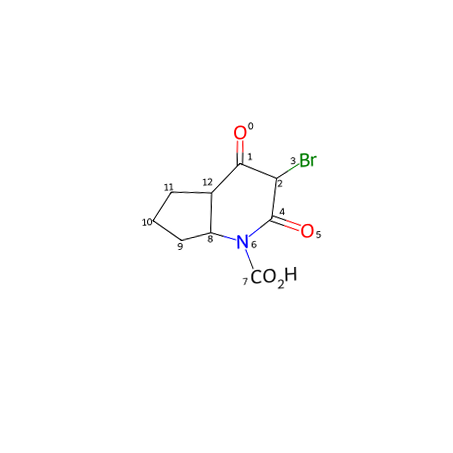 O=C1C(Br)C(=O)N(C(=O)O)C2CCCC12